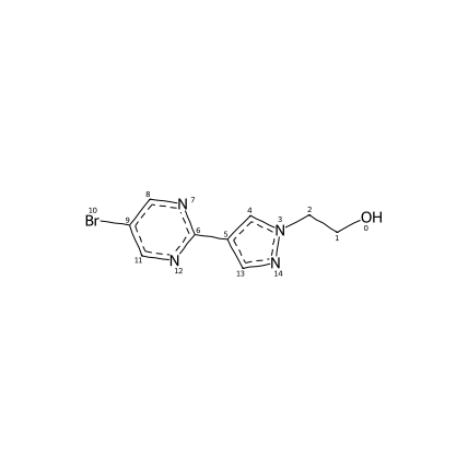 OCCn1cc(-c2ncc(Br)cn2)cn1